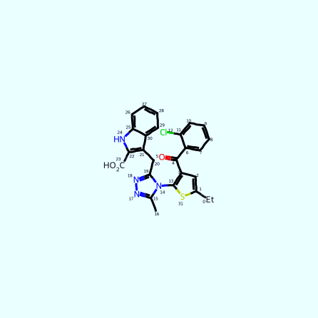 CCc1cc(C(=O)c2ccccc2Cl)c(-n2c(C)nnc2Cc2c(C(=O)O)[nH]c3ccccc23)s1